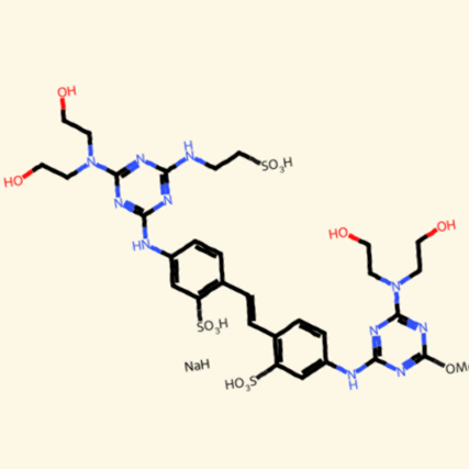 COc1nc(Nc2ccc(C=Cc3ccc(Nc4nc(NCCS(=O)(=O)O)nc(N(CCO)CCO)n4)cc3S(=O)(=O)O)c(S(=O)(=O)O)c2)nc(N(CCO)CCO)n1.[NaH]